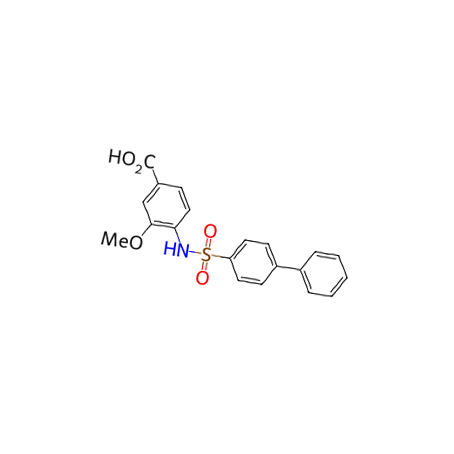 COc1cc(C(=O)O)ccc1NS(=O)(=O)c1ccc(-c2ccccc2)cc1